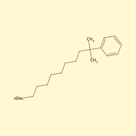 CCCCCCCCCCCCCCCCCCC(C)(C)c1ccccc1